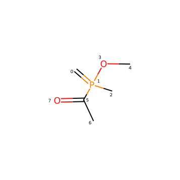 C=P(C)(OC)C(C)=O